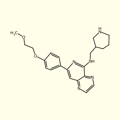 COCCOc1ccc(-c2cc3nccnc3c(NCC3CCCNC3)n2)cc1